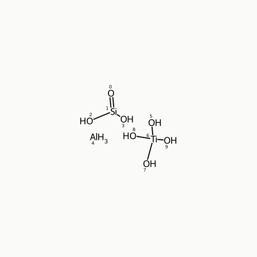 O=[Si](O)O.[AlH3].[OH][Ti]([OH])([OH])[OH]